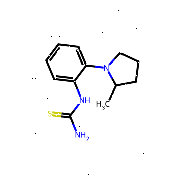 CC1CCCN1c1ccccc1NC(N)=S